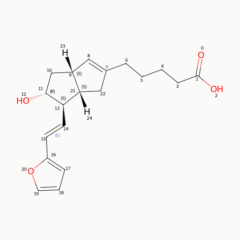 O=C(O)CCCCC1=C[C@H]2C[C@@H](O)[C@H](/C=C/c3ccco3)[C@H]2C1